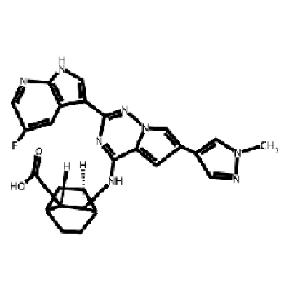 Cn1cc(-c2cc3c(N[C@H]4C5CCC(CC5)[C@@H]4C(=O)O)nc(-c4c[nH]c5ncc(F)cc45)nn3c2)cn1